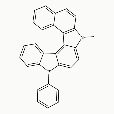 Cn1c2ccc3ccccc3c2c2c3c4ccccc4p(-c4ccccc4)c3ccc21